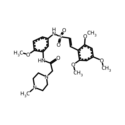 COc1cc(OC)c(C=CS(=O)(=O)Nc2ccc(OC)c(NC(=O)CN3CCN(C)CC3)c2)c(OC)c1